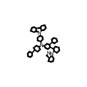 c1ccc(-c2ccc(N(c3ccc(-n4c5ccccc5c5ccccc54)cc3)c3ccc(-c4ccccc4-n4ncc5ccccc54)c(-c4ccccc4)c3)cc2)cc1